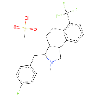 CN1CC2c3cccc(C(F)(F)F)c3CCC2C1Cc1ccc(F)cc1.CS(=O)(=O)O